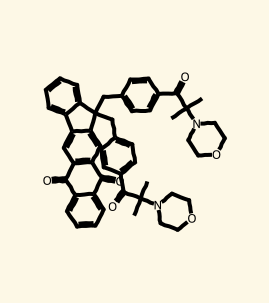 CC(C)(C(=O)c1ccc(CC2(Cc3ccc(C(=O)C(C)(C)N4CCOCC4)cc3)c3ccccc3-c3cc4c(cc32)C(=O)c2ccccc2C4=O)cc1)N1CCOCC1